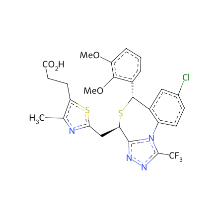 COc1cccc([C@H]2S[C@H](Cc3nc(C)c(CCC(=O)O)s3)c3nnc(C(F)(F)F)n3-c3ccc(Cl)cc32)c1OC